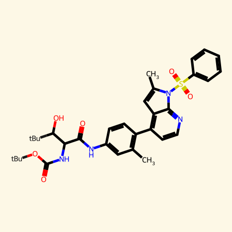 Cc1cc(NC(=O)C(NC(=O)OC(C)(C)C)C(O)C(C)(C)C)ccc1-c1ccnc2c1cc(C)n2S(=O)(=O)c1ccccc1